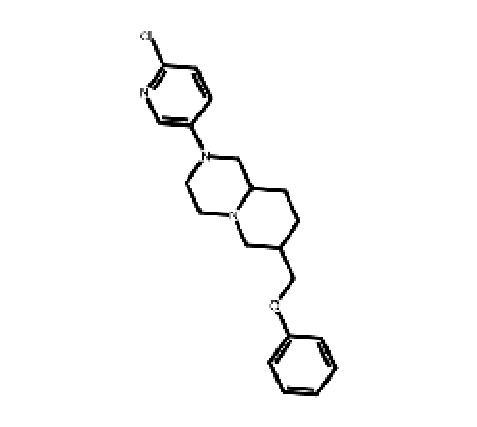 Clc1ccc(N2CCN3CC(COc4ccccc4)CCC3C2)cn1